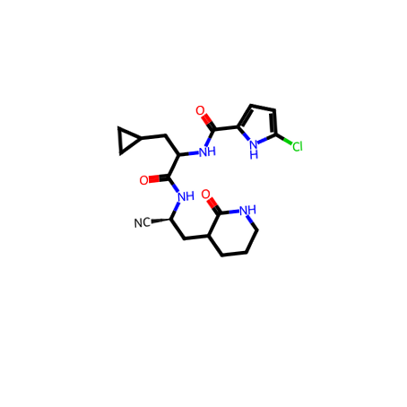 N#C[C@H](CC1CCCNC1=O)NC(=O)C(CC1CC1)NC(=O)c1ccc(Cl)[nH]1